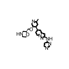 Cc1cc(-c2ccn3nc(Nc4ccncn4)cc3c2)c(OC[C@@H]2CNCCO2)cn1